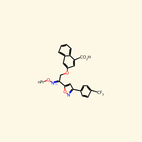 CCCO/N=C(\COc1cc(C(=O)O)c2ccccc2c1)c1cc(-c2ccc(C(F)(F)F)cc2)no1